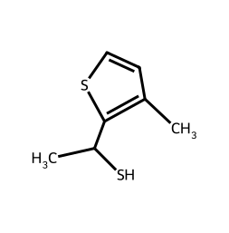 Cc1ccsc1C(C)S